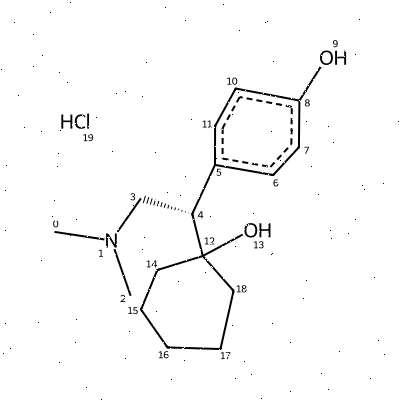 CN(C)C[C@H](c1ccc(O)cc1)C1(O)CCCCC1.Cl